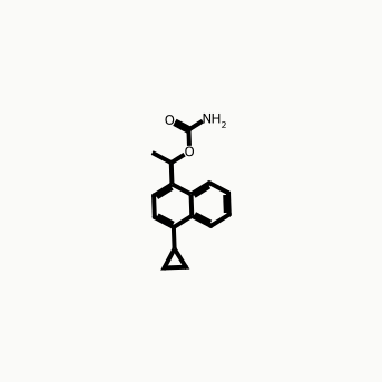 CC(OC(N)=O)c1ccc(C2CC2)c2ccccc12